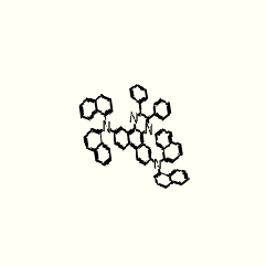 c1ccc(-c2nc3c4cc(N(c5cccc6ccccc56)c5cccc6ccccc56)ccc4c4ccc(N(c5cccc6ccccc56)c5cccc6ccccc56)cc4c3nc2-c2ccccc2)cc1